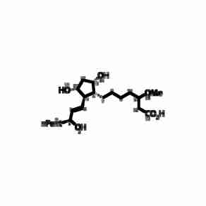 CCCCC[C@H](O)/C=C/[C@@H]1[C@@H](CCCCC(CC(=O)O)OC)[C@@H](O)C[C@H]1O